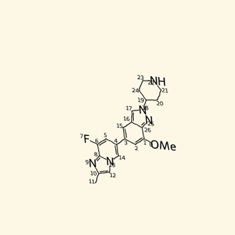 COc1cc(-c2cc(F)c3nc(C)cn3c2)cc2cn(C3CCNCC3)nc12